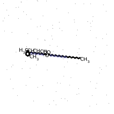 CCCCCCCCC/C=C/C=C/C=C/C=C/C=C/C(=O)OC(=O)/C=C(C)/C=C/C=C(C)/C=C/C1=C(C)CCCC1(C)C